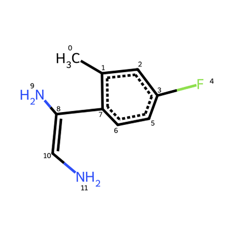 Cc1cc(F)ccc1/C(N)=C\N